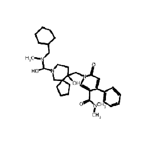 CN(C)C(=O)c1cn(CC2(O)CCN(C(O)N(C)CC3CCCCC3)CC23CCCC3)c(=O)cc1-c1ccccc1